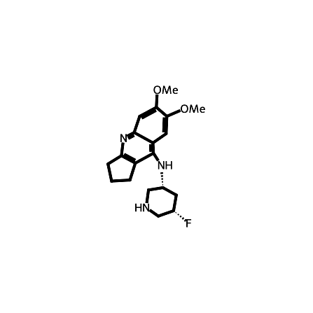 COc1cc2nc3c(c(N[C@H]4CNC[C@@H](F)C4)c2cc1OC)CCC3